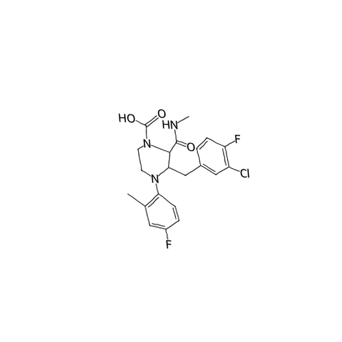 CNC(=O)C1C(Cc2ccc(F)c(Cl)c2)N(c2ccc(F)cc2C)CCN1C(=O)O